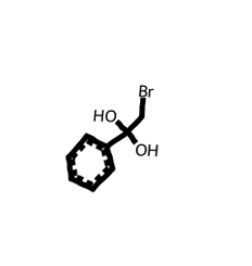 OC(O)(CBr)c1ccccc1